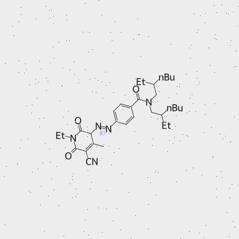 CCCCC(CC)CN(CC(CC)CCCC)C(=O)c1ccc(/N=N/C2C(=O)N(CC)C(=O)C(C#N)=C2C)cc1